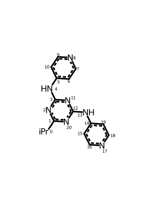 CC(C)c1nc(Nc2ccncc2)nc(Nc2ccncc2)n1